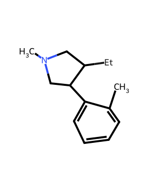 CCC1CN(C)CC1c1ccccc1C